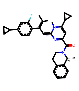 CC(C)=C(/C=C1/N=C(C(=O)N2CCc3ccccc3[C@H]2C)C=C(C2CC2)N1C)c1ccc(C2CC2)cc1F